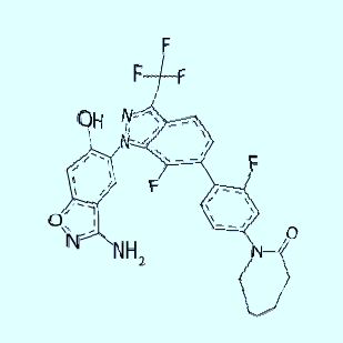 Nc1noc2cc(O)c(-n3nc(C(F)(F)F)c4ccc(-c5ccc(N6CCCCC6=O)cc5F)c(F)c43)cc12